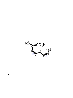 CC/C=C\C/C=C\C(CCCCCC)C(=O)O